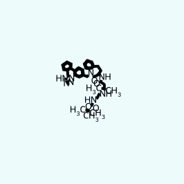 CC(C)(CC(=O)N[C@@H]1CCc2ccccc2N(Cc2ccc(-c3ccccc3-c3nnn[nH]3)cc2)C1=O)NCCNC(=O)OC(C)(C)C